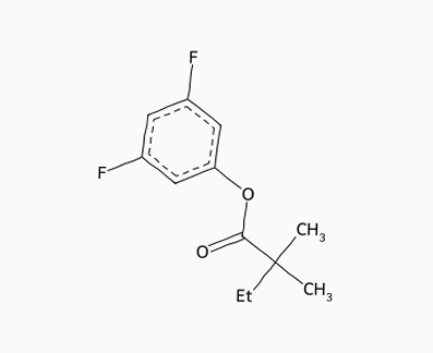 CCC(C)(C)C(=O)Oc1cc(F)cc(F)c1